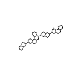 c1ccc2cc(-c3ccc4c(ccc5cc(-c6ccc7cc(-c8cnc9c(ccc%10cccnc%109)c8)ccc7c6)c6ccccc6c54)c3)ccc2c1